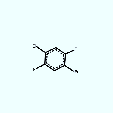 CC(C)c1cc(F)c(Cl)cc1F